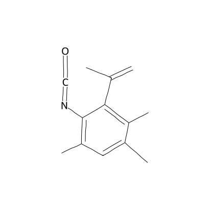 C=C(C)c1c(C)c(C)cc(C)c1N=C=O